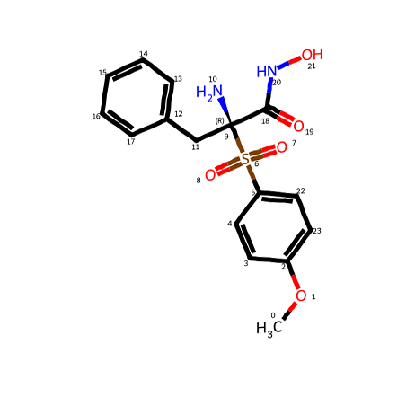 COc1ccc(S(=O)(=O)[C@](N)(Cc2ccccc2)C(=O)NO)cc1